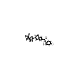 O=C(Nc1ccc(Cl)cc1)c1cn2ccc(-c3noc(C(F)(F)F)n3)cc2n1